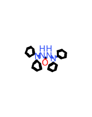 O=C(NN(c1ccccc1)c1ccccc1)NN(c1ccccc1)c1ccccc1